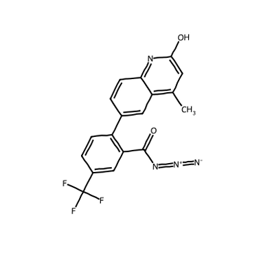 Cc1cc(O)nc2ccc(-c3ccc(C(F)(F)F)cc3C(=O)N=[N+]=[N-])cc12